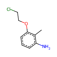 Cc1c(N)cccc1OCCCl